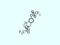 CC1[C@H]2Cc3ccc(OS(=O)(=O)C(F)(F)F)cc3C1(C)CCN2C(=O)C(F)(F)F